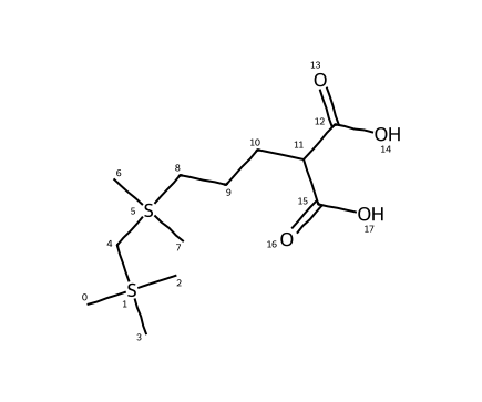 CS(C)(C)CS(C)(C)CCCC(C(=O)O)C(=O)O